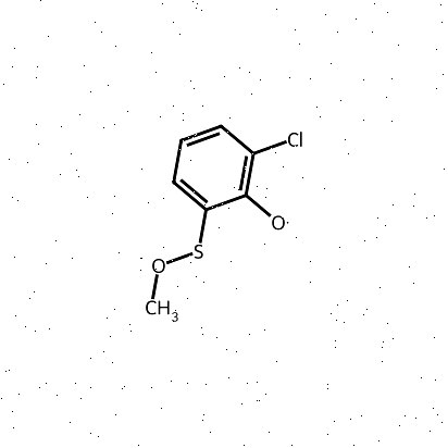 COSc1cccc(Cl)c1[O]